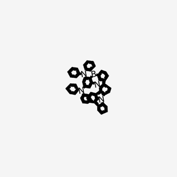 c1ccc(N(c2ccccc2)c2cc3c4c(c2)-n2c5c(cccc5c5ccc6c(c7cccc8c9ccccc9n6c87)c52)B4c2ccccc2N3c2ccccc2)cc1